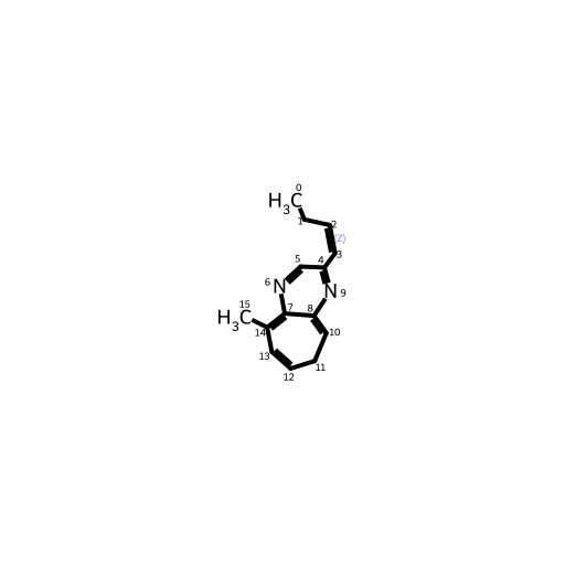 CC/C=C\c1cnc2c(n1)=CCC=CC=2C